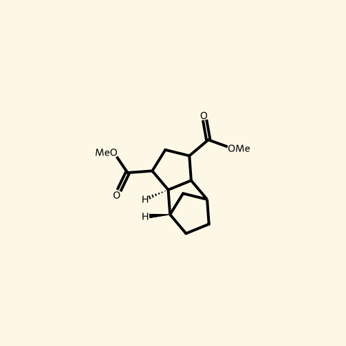 COC(=O)C1CC(C(=O)OC)[C@H]2C1C1CC[C@H]2C1